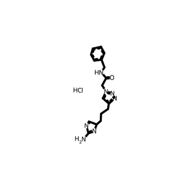 Cl.NC1=NC(CCCc2cn(CC(=O)NCc3ccccc3)nn2)C=N1